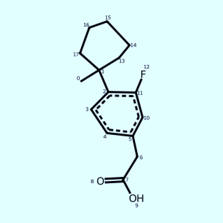 CC1(c2ccc(CC(=O)O)cc2F)CCCCC1